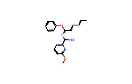 C/C=C/C=C/C(=N\C(=N)c1cccc(OC)n1)Oc1ccccc1